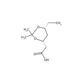 CC[C@@H]1C[C@H](CC(=O)O)OC(C)(C)O1